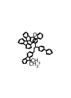 CC1(C)c2ccccc2-c2ccc(CCC(c3ccc(-c4ccccc4)cc3)c3ccccc3-c3cccc4c3C3(c5ccccc5-4)c4ccccc4-c4c3ccc3c4oc4ccccc43)cc21